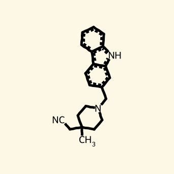 CC1(CC#N)CCN(Cc2ccc3c(c2)[nH]c2ccccc23)CC1